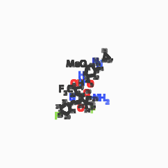 COc1cc(C(=O)NCC(O)(c2cc3c(c(-c4ccc(F)cc4)n2)OCC3(CF)C(N)=O)C(F)(F)F)cc2cn(C3CC3)nc12